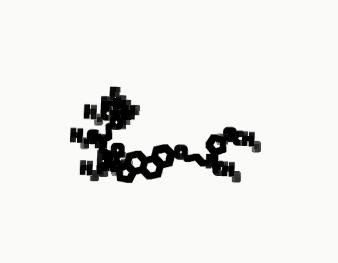 CO[C@@H]1CCC(N(C)CCCOc2ccc3c(c2)CCC2C3CC[C@@]3(C)C2CC[C@@H]3N(C)C(=O)CN(C)CCOC(C)(C(F)(F)F)C(F)(F)F)C1